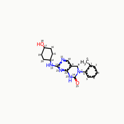 Cc1ccccc1N1Cc2cnc(NC3CCC(O)CC3)nc2NC1=O